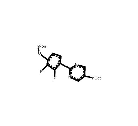 CCCCCCCCCOc1ccc(-c2ncc(CCCCCCCC)cn2)c(F)c1F